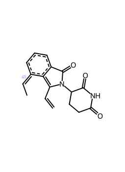 C=CC1=c2c(ccc/c2=C/C)C(=O)N1C1CCC(=O)NC1=O